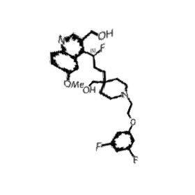 COc1ccc2ncc(CO)c([C@@H](F)CCC3(CO)CCN(CCOc4cc(F)cc(F)c4)CC3)c2c1